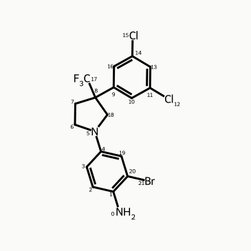 Nc1ccc(N2CCC(c3cc(Cl)cc(Cl)c3)(C(F)(F)F)C2)cc1Br